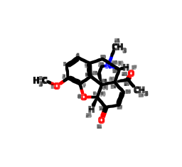 COc1ccc2c3c1O[C@H]1C(=O)C=C[C@@]4(C(C)=O)[C@@H](C2)N(C)CC[C@]314